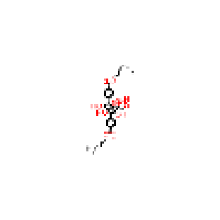 CCCCOC(=O)c1ccc(C2C(O)[C@@]3(O)C(c4ccc(C(=O)OCCCC)cc4)[C@@](O)([C@H](O)CO)[C@@]23O)cc1